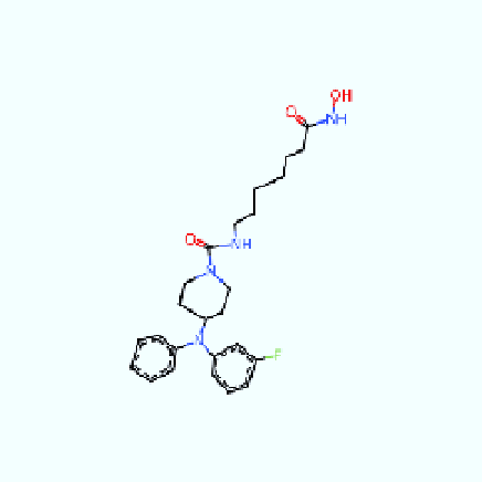 O=C(CCCCCCNC(=O)N1CCC(N(c2ccccc2)c2cccc(F)c2)CC1)NO